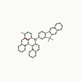 Cc1ccc(N(c2ccc3c(c2)C(C)(C)c2cc4ccccc4cc2-3)c2ccc3ccccc3c2-c2cccc3ccccc23)cc1